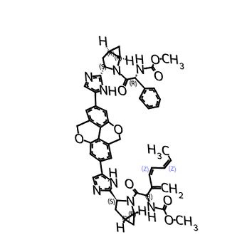 C=C(/C=C\C=C/C)[C@@H](NC(=O)OC)C(=O)N1[C@@H]2C[C@@H]2C[C@H]1c1ncc(-c2cc3c4c(c2)OCc2cc(-c5cnc([C@@H]6C[C@H]7C[C@H]7N6C(=O)[C@H](NC(=O)OC)c6ccccc6)[nH]5)cc(c2-4)OC3)[nH]1